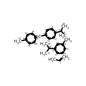 C=CC.Cc1ccc(C(C)C)cc1.Cc1cccc(C(C)C)c1.Cc1ccccc1